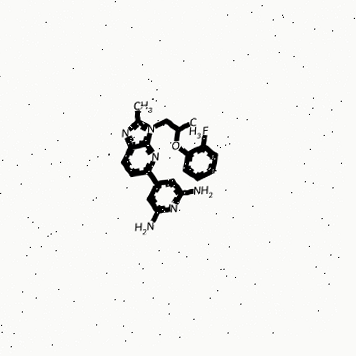 Cc1nc2ccc(-c3cc(N)nc(N)c3)nc2n1CC(C)Oc1ccccc1F